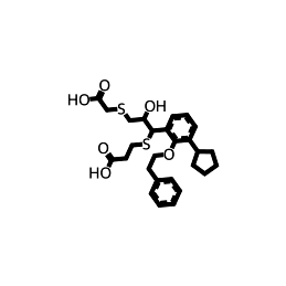 O=C(O)CCSC(c1cccc(C2CCCC2)c1OCCc1ccccc1)C(O)CSCC(=O)O